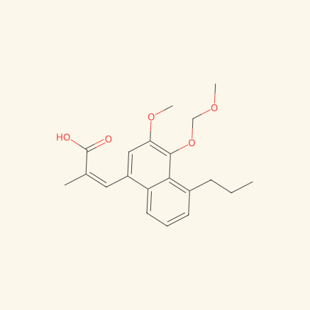 CCCc1cccc2c(C=C(C)C(=O)O)cc(OC)c(OCOC)c12